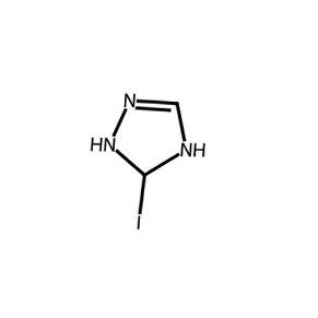 IC1NC=NN1